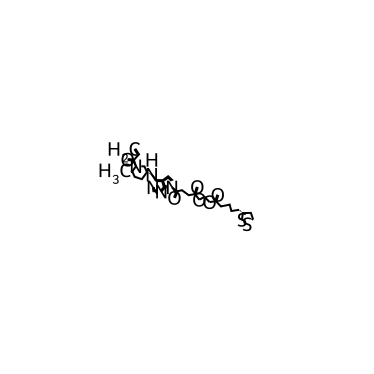 C=CC(=O)N1C[C@H](Nc2ncnc3c2ccn3C(=O)CCC(=O)OCOC(=O)CCCC[C@@H]2CCSS2)CC[C@@H]1C